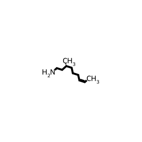 C/C=C\CCC[C@@H](C)CCN